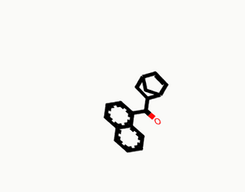 O=C(c1cccc2ccccc12)C1CC2C=CC1C2